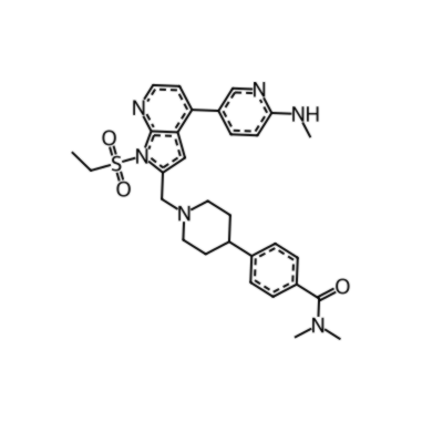 CCS(=O)(=O)n1c(CN2CCC(c3ccc(C(=O)N(C)C)cc3)CC2)cc2c(-c3ccc(NC)nc3)ccnc21